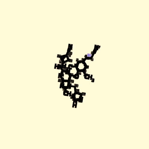 Cc1cc(/C=C/C#N)cc(C)c1Oc1nc(NC23CC(C#N)(C2)C3)nc2nc(C)n(Cc3cn[nH]c3)c12